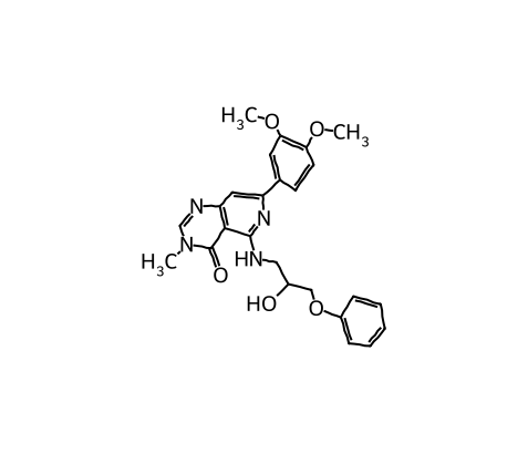 COc1ccc(-c2cc3ncn(C)c(=O)c3c(NCC(O)COc3ccccc3)n2)cc1OC